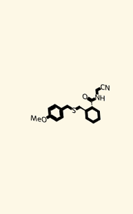 COc1ccc(CSC[C@@H]2CCCC[C@H]2C(=O)NCC#N)cc1